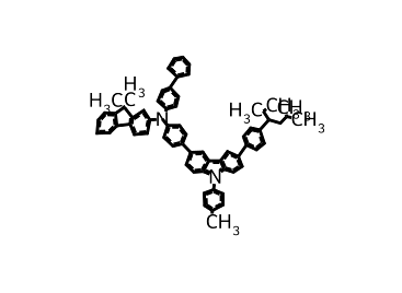 Cc1ccc(-n2c3ccc(-c4ccc(C(CC(C)C)C(C)C)cc4)cc3c3cc(-c4ccc(N(c5ccc(-c6ccccc6)cc5)c5ccc6c(c5)C(C)(C)c5ccccc5-6)cc4)ccc32)cc1